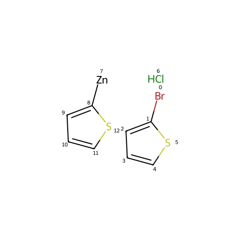 Brc1cccs1.Cl.[Zn][c]1cccs1